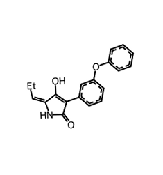 CCC=C1NC(=O)C(c2cccc(Oc3ccccc3)c2)=C1O